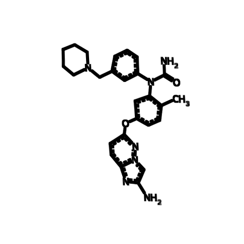 Cc1ccc(Oc2ccc3nc(N)cn3n2)cc1N(C(N)=O)c1cccc(CN2CCCCC2)c1